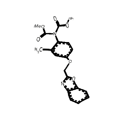 CCCOC(=O)N(C(=O)OC)c1ccc(OCc2nc3ccccc3o2)cc1C